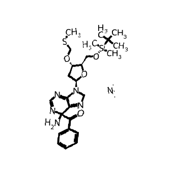 CSCO[C@H]1C[C@H](N2CN=C3C2=NC=NC3(N)C(=O)c2ccccc2)O[C@@H]1CO[Si](C)(C)C(C)(C)C.[N]